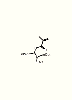 C=C(C)C(=O)OC(CCCCC)N(CCCCCCCC)CCCCCCCC